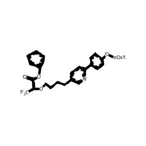 CCCCCCCCOc1ccc(-c2ccc(CCCCOC(C(=O)Oc3ccccc3)C(F)(F)F)cn2)cc1